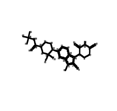 Cn1c(=O)n(C2CCC(=O)NC2=O)c2ccc([C@@H]3CCN(C(=O)OC(C)(C)C)CC3(F)F)cc21